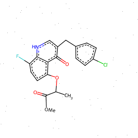 COC(=O)C(C)Oc1ccc(F)c2[nH]cc(Cc3ccc(Cl)cc3)c(=O)c12